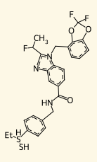 CC[SH](S)c1ccc(CNC(=O)c2ccc3c(c2)nc(C(C)F)n3Cc2cccc3c2OC(F)(F)O3)cc1